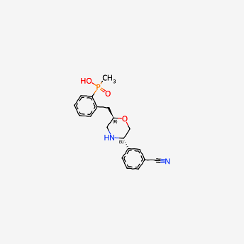 CP(=O)(O)c1ccccc1C[C@@H]1CN[C@@H](c2cccc(C#N)c2)CO1